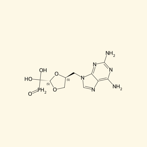 Nc1nc(N)c2ncn(C[C@H]3CO[C@H](C(O)(O)[PH2]=O)O3)c2n1